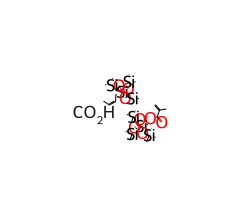 C=C(C)C(=O)OC[Si](O[Si](C)(C)C)(O[Si](C)(C)C)O[Si](C)(C)C.CC(=CC[Si](O[Si](C)(C)C)(O[Si](C)(C)C)O[Si](C)(C)C)C(=O)O